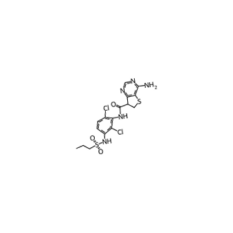 CCCS(=O)(=O)Nc1ccc(Cl)c(NC(=O)C2CSc3c(N)ncnc32)c1Cl